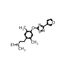 CCN(C)CCc1cc(C)c(Oc2nc(-c3ccoc3)ns2)cc1C